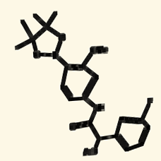 COc1cc(NC(=O)C(OC(C)=O)c2cccc(F)c2)ccc1B1OC(C)(C)C(C)(C)O1